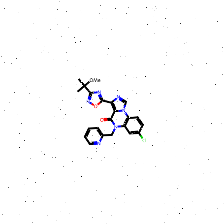 COC(C)(C)c1noc(-c2ncn3c2c(=O)n(Cc2ccccn2)c2cc(Cl)ccc23)n1